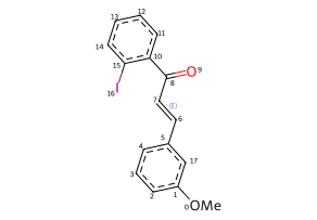 COc1cccc(/C=C/C(=O)c2ccccc2I)c1